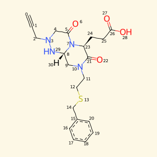 C#CCN1CC(=O)N2[C@H](CN(CCSCc3ccccc3)C(=O)[C@@H]2CCC(=O)O)N1